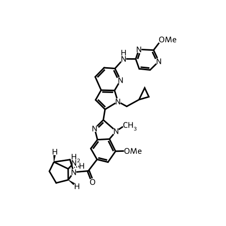 COc1nccc(Nc2ccc3cc(-c4nc5cc(C(=O)N6C[C@H]7CC[C@@H]6[C@@H]7N)cc(OC)c5n4C)n(CC4CC4)c3n2)n1